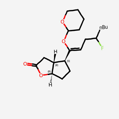 CCCCC(F)CC=C(OC1CCCCO1)[C@H]1CC[C@H]2OC(=O)C[C@H]12